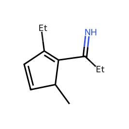 CCC(=N)C1=C(CC)C=CC1C